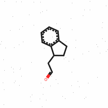 O=CCC1CCc2ccccc21